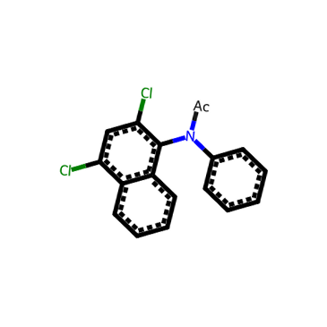 CC(=O)N(c1ccccc1)c1c(Cl)cc(Cl)c2ccccc12